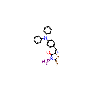 O=C1/C(=C\c2ccc(N(c3ccccc3)c3ccccc3)cc2)SC(=S)N1P